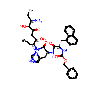 CC(C)C[C@H](NC(=O)[C@H](Cc1c[nH]cn1)NC(=O)[C@H](Cc1cccc2ccccc12)NC(=O)OCc1ccccc1)[C@@H](O)CC(=O)C(O)[C@@H](N)CC(C)C